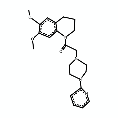 COc1cc2c(cc1OC)N(C(=O)CN1CCN(c3ccccn3)CC1)CCC2